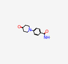 [NH]C(=O)c1ccc(N2CCC(=O)CC2)cc1